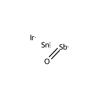 [Ir].[O]=[Sb].[Sn]